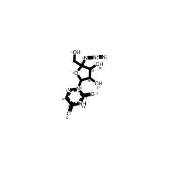 [N-]=[N+]=NC1(CO)OC(n2ncc(=O)[nH]c2=O)C(O)C1O